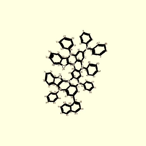 c1ccc(N(c2ccccc2)c2cc3c4c(c2)N(c2ccccc2)c2c(oc5ccccc25)B4c2cc4c(cc2N3c2ccccc2)N(c2ccccc2)c2cc(-c3cccc5ccccc35)cc3c2B4c2oc4ccccc4c2N3c2ccccc2)cc1